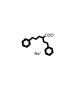 O=C([O-])C(CCCc1ccccc1)CCc1ccccc1.[Na+]